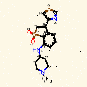 CN1CCC(Nc2cccc3c2S(=O)(=O)C=C3c2cscn2)CC1